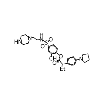 CCC(C(=O)Oc1ccc(S(=O)(=O)NCCN2CCNCC2)cc1C)c1ccc(N2CCCC2)cc1